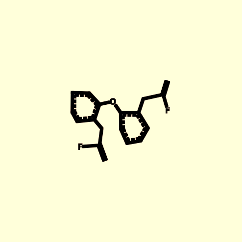 C=C(F)Cc1ccccc1Oc1ccccc1CC(=C)F